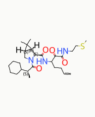 C=CCCC(NC(=O)[C@@H]1[C@@H]2[C@H](CN1C(=O)[C@@H](C)C1CCCCC1)C2(C)C)C(=O)C(=O)NCCSC